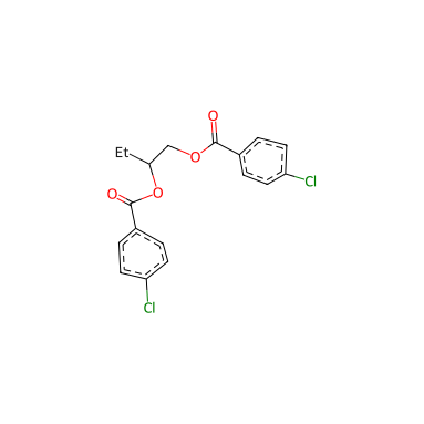 CCC(COC(=O)c1ccc(Cl)cc1)OC(=O)c1ccc(Cl)cc1